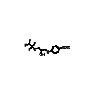 CCCCCCCCc1ccc(OCC(O)COC(F)(F)C(F)F)cc1